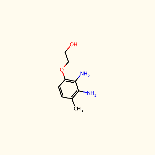 Cc1ccc(OCCO)c(N)c1N